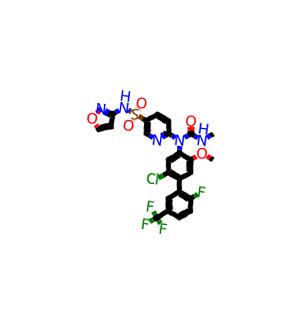 CNC(=O)N(c1ccc(S(=O)(=O)Nc2ccon2)cn1)c1cc(Cl)c(-c2cc(C(F)(F)F)ccc2F)cc1OC